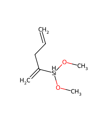 C=CCC(=C)[SiH](OC)OC